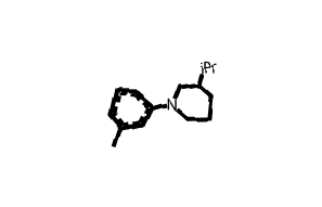 Cc1cccc(N2CCCC(C(C)C)C2)c1